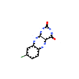 O=c1nc2[nH]c3cc(Cl)ccc3nc-2c(=O)[nH]1